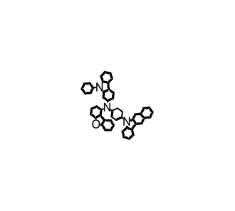 C1=C(N(c2ccc3c4ccccc4n(-c4ccccc4)c3c2)c2cccc3oc4ccccc4c23)CCC(n2c3ccccc3c3cc4ccccc4cc32)=C1